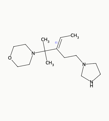 C/C=C(\CCN1CCNC1)C(C)(C)N1CCOCC1